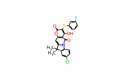 CC1(C)c2cc(Cl)ccc2-n2c1cc1oc(=O)c(Sc3cccc(F)c3)c(O)c1c2=O